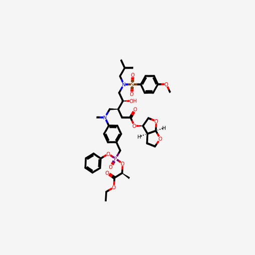 CCOC(=O)[C@H](C)OP(=O)(Cc1ccc(N(C)C[C@H](CC(=O)O[C@H]2CO[C@H]3OCC[C@H]32)[C@H](O)CN(CC(C)C)S(=O)(=O)c2ccc(OC)cc2)cc1)Oc1ccccc1